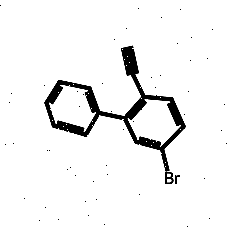 C#Cc1ccc(Br)cc1-c1ccccc1